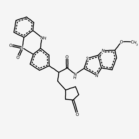 COc1ccc2nc(NC(=O)C(CC3CCC(=O)C3)c3ccc4c(c3)Nc3ccccc3S4(=O)=O)sc2n1